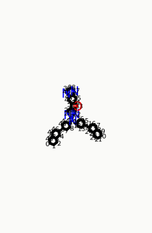 c1ccc2cc(-c3ccc(N(c4ccc(-c5ccc6ccccc6c5)cc4)c4ncc5c(n4)oc4cc6nccnc6cc45)cc3)ccc2c1